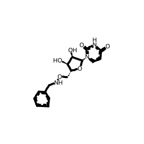 O=c1ccn([C@@H]2O[C@H](CONCc3ccccc3)[C@@H](O)[C@H]2O)c(=O)[nH]1